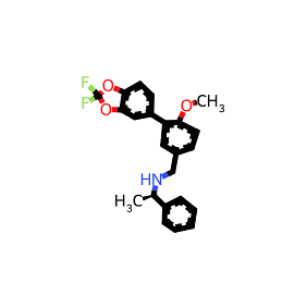 COc1ccc(CN[C@H](C)c2ccccc2)cc1-c1ccc2c(c1)OC(F)(F)O2